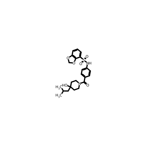 CC(C)CC1(O)CCN(C(=O)c2ccc(NS(=O)(=O)c3cccc4c3OCO4)cc2)CC1